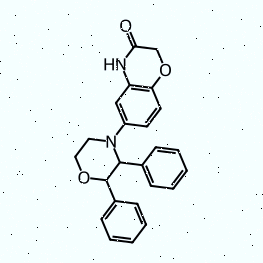 O=C1COc2ccc(N3CCOC(c4ccccc4)C3c3ccccc3)cc2N1